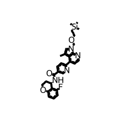 Cc1cn(COCC[Si](C)(C)C)c2nccc(-c3ccc(C(=O)N[C@H]4CCOc5cccc(F)c54)cn3)c12